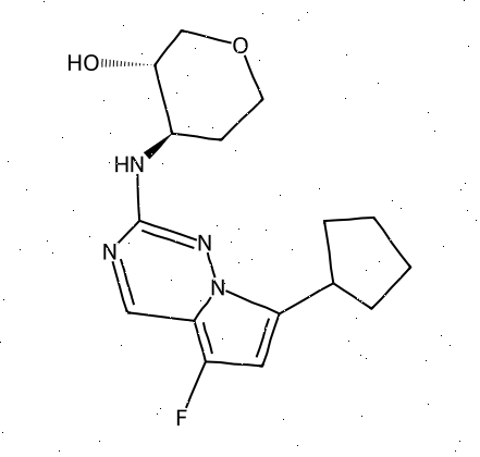 O[C@@H]1COCC[C@H]1Nc1ncc2c(F)cc(C3CCCC3)n2n1